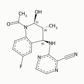 CC(=O)N1c2ccc(F)cc2[C@H](Nc2nccnc2C#N)[C@@H](C)[C@@H]1O